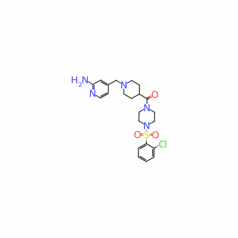 Nc1cc(CN2CCC(C(=O)N3CCN(S(=O)(=O)c4ccccc4Cl)CC3)CC2)ccn1